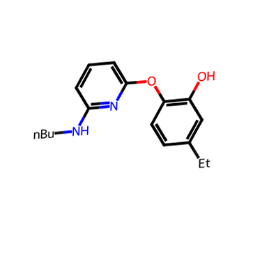 CCCCNc1cccc(Oc2ccc(CC)cc2O)n1